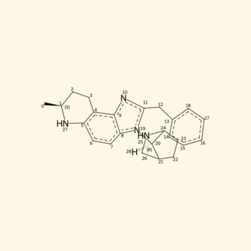 C[C@H]1CCc2c(ccc3c2nc(Cc2ccccc2)n3[C@@H]2C3CCC2NC3)N1